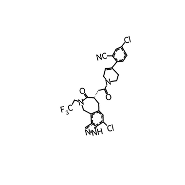 N#Cc1cc(Cl)ccc1C1=CCN(C(=O)C[C@@H]2Cc3cc(Cl)c4[nH]ncc4c3CN(CC(F)(F)F)C2=O)CC1